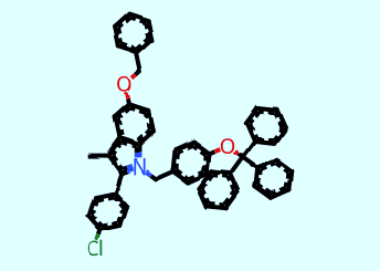 Cc1c(-c2ccc(Cl)cc2)n(Cc2ccc(OC(c3ccccc3)(c3ccccc3)c3ccccc3)cc2)c2ccc(OCc3ccccc3)cc12